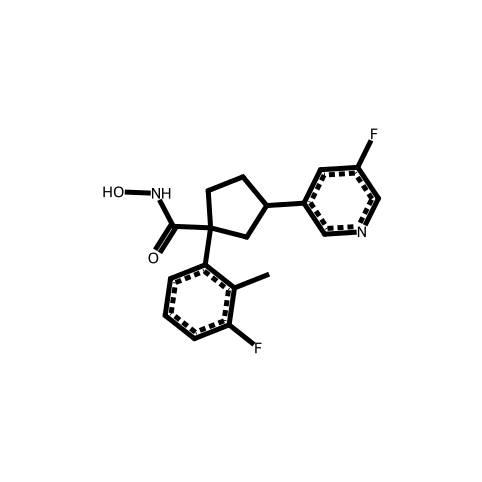 Cc1c(F)cccc1C1(C(=O)NO)CCC(c2cncc(F)c2)C1